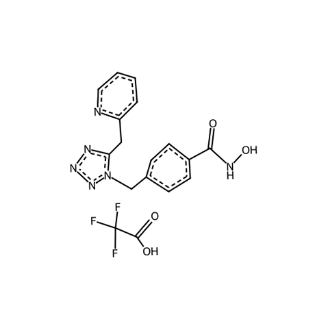 O=C(NO)c1ccc(Cn2nnnc2Cc2ccccn2)cc1.O=C(O)C(F)(F)F